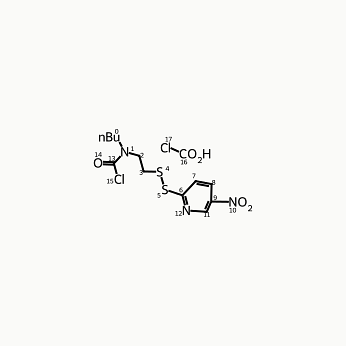 CCCCN(CCSSc1ccc([N+](=O)[O-])cn1)C(=O)Cl.O=C(O)Cl